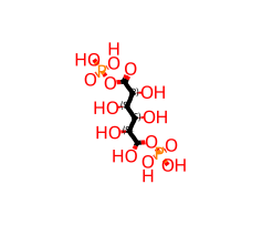 O=C(OP(=O)(O)O)[C@H](O)[C@@H](O)[C@H](O)[C@H](O)C(O)OP(=O)(O)O